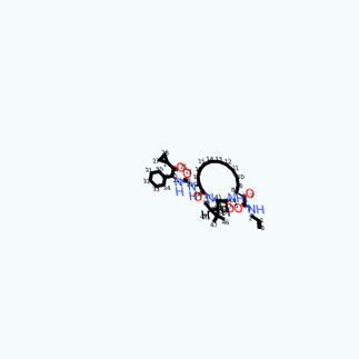 C=CCNC(=O)C(=O)[C@@H]1CCCCCCCCC[C@H](NC(=O)N[C@H](C(=O)C2CC2)C2CCCCC2)C(=O)N2C[C@H]3[C@@H]([C@H]2C(=O)N1)C3(C)C